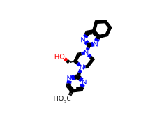 O=C(O)c1cnc(N2CCN(c3ncc4c(n3)CCCC4)C[C@H]2CO)nc1